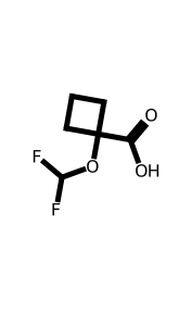 O=C(O)C1(OC(F)F)CCC1